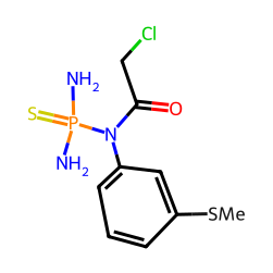 CSc1cccc(N(C(=O)CCl)P(N)(N)=S)c1